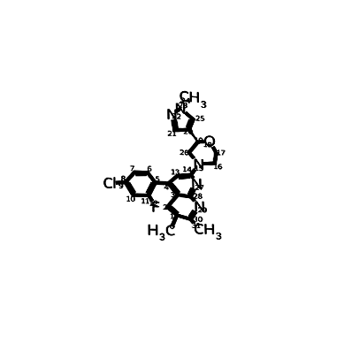 Cc1cc2c(-c3ccc(Cl)cc3F)cc(N3CCO[C@H](c4cnn(C)c4)C3)nc2nc1C